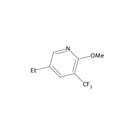 CCc1cnc(OC)c(C(F)(F)F)c1